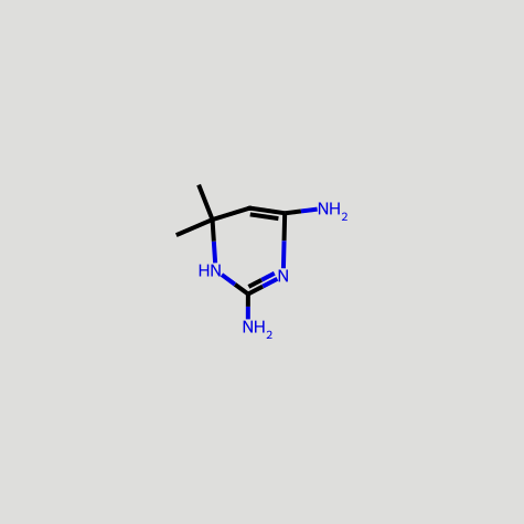 CC1(C)C=C(N)N=C(N)N1